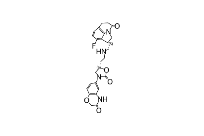 O=C1COc2ccc(N3C[C@H](CCNC[C@H]4CN5C(=O)CCc6ccc(F)c4c65)OC3=O)cc2N1